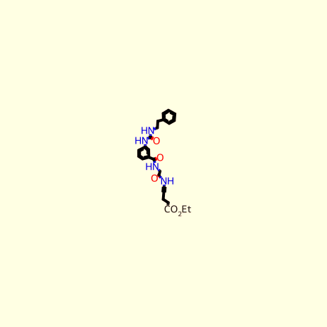 CCOC(=O)CCC#CNC(=O)CNC(=O)c1cccc(NC(=O)NCCc2ccccc2)c1